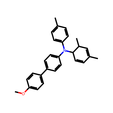 COc1ccc(-c2ccc(N(c3ccc(C)cc3)C3C=CC(C)=CC3C)cc2)cc1